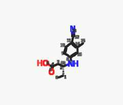 CC[C@H](CC(=O)O)Nc1ccc(C#N)c(C)c1